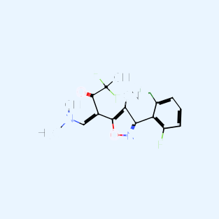 CN(C)/C=C(\C(=O)C(C)(F)F)c1onc(-c2c(F)cccc2Cl)c1C#N